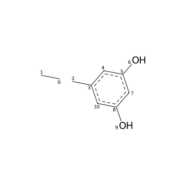 CC.Cc1cc(O)cc(O)c1